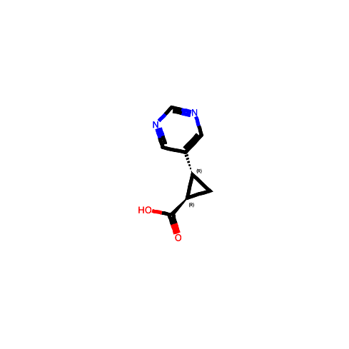 O=C(O)[C@@H]1C[C@H]1c1cncnc1